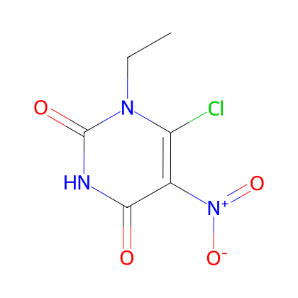 CCn1c(Cl)c([N+](=O)[O-])c(=O)[nH]c1=O